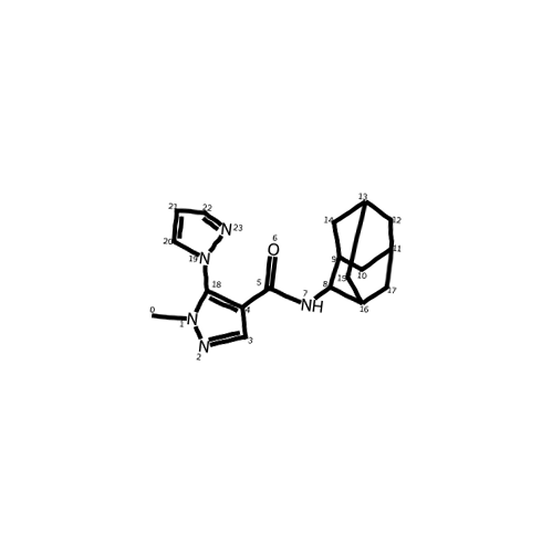 Cn1ncc(C(=O)NC2C3CC4CC(C3)CC2C4)c1-n1cccn1